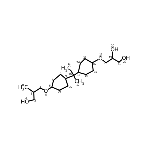 CC(CO)COC1CCC(C(C)(C)C2CCC(OCC(O)CO)CC2)CC1